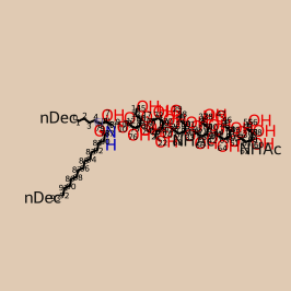 CCCCCCCCCCCCC/C=C/[C@@H](O)[C@H](CO[C@@H]1OC(CO)[C@@H](O[C@@H]2OC(CO)[C@H](O[C@@H]3OC(CO)[C@H](O)[C@H](O[C@@H]4OC(CO)[C@H](O)[C@H](O[C@H]5OC(CO)[C@H](O)[C@H](O[C@@H]6OC(CO)[C@H](O)[C@H](O)C6NC(C)=O)C5O)C4O)C3NC(C)=O)[C@H](O)C2O)[C@H](O)C1O)NC(=O)CCCCCCCCCCCCCCCCCCCCCCC